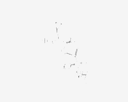 NS(=O)(=O)c1cnc(C(O)C2CC2)s1